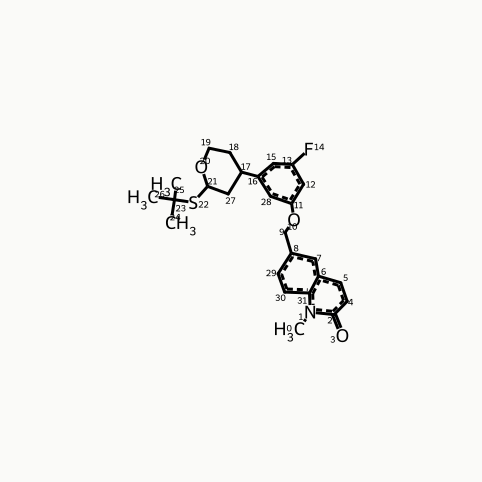 Cn1c(=O)ccc2cc(COc3cc(F)cc(C4CCOC(SC(C)(C)C)C4)c3)ccc21